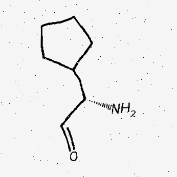 N[C@H](C=O)C1CCCC1